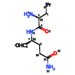 CC(C)C[C@H](N)C(=O)N[C@H]([C]=O)CCC(N)=O